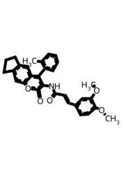 COc1ccc(C=CC(=O)Nc2c(-c3ccccc3C)c3cc4c(cc3oc2=O)CCC4)cc1OC